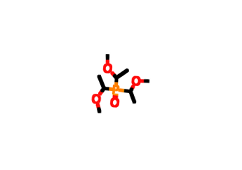 COC(C)P(=O)(C(C)OC)C(C)OC